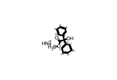 BOC(=O)C(O)(c1ccccc1)c1ccccc1.[NaH]